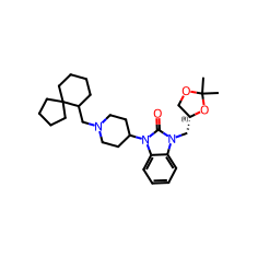 CC1(C)OC[C@@H](Cn2c(=O)n(C3CCN(CC4CCCCC45CCCC5)CC3)c3ccccc32)O1